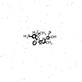 CCc1ccc(OC(C)C)c(C(=O)N2CCCC[C@H]2c2cc3nc(N4C[C@@H](C#N)[C@@H](O)C4)c(C)cn3n2)c1